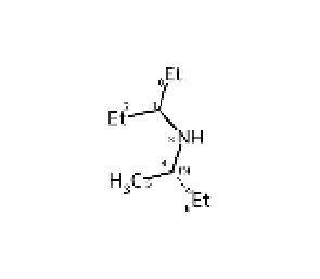 CCC(CC)N[C@@H](C)CC